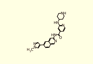 Cn1cc(-c2ccc3cnc(NC(=O)c4ccnc(NC5CCNCC5)c4)cc3c2)cn1